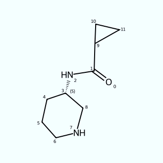 O=C(N[C@H]1CCCNC1)C1CC1